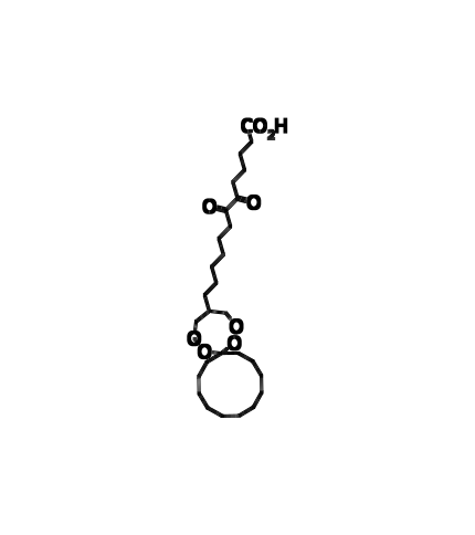 O=C(O)CCCCC(=O)C(=O)CCCCCCC1COOC2(CCCCCCCCCCC2)OOC1